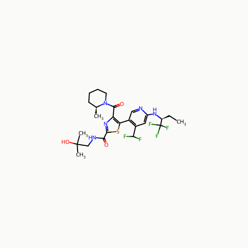 CC[C@H](Nc1cc(C(F)F)c(-c2sc(C(=O)NCC(C)(C)O)nc2C(=O)N2CCCC[C@@H]2C)cn1)C(F)(F)F